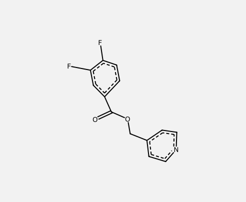 O=C(OCc1ccncc1)c1ccc(F)c(F)c1